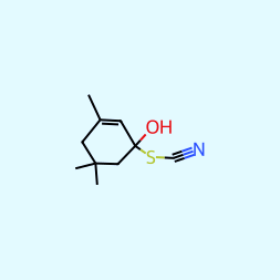 CC1=CC(O)(SC#N)CC(C)(C)C1